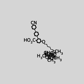 C[Si](C)(C)O[Si](C)(C)O[Si](C)(C)O[Si](C)(C)CCCCCCOc1ccc(C(=O)O)c(-c2ccc(-c3ccc(C#N)cc3)cc2)c1